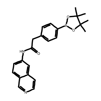 CC1(C)OB(c2ccc(CC(=O)Nc3ccc4cnccc4c3)cc2)OC1(C)C